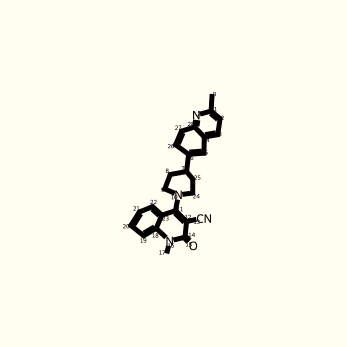 Cc1ccc2cc(C3CCN(c4c(C#N)c(=O)n(C)c5ccccc45)CC3)ccc2n1